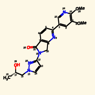 COc1cc(-c2ccc3c(n2)CN(c2ccn(C[C@H](C)O)n2)C3=O)cnc1OC